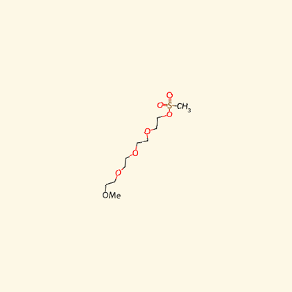 COCCOCCOCCOCCOS(C)(=O)=O